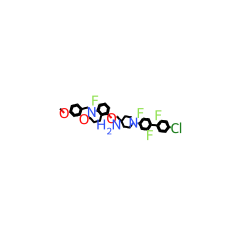 COc1ccc(CN2C(=O)CCc3c(OCC4(N)CCN(c5cc(F)c(-c6ccc(Cl)cc6F)cc5F)CC4)ccc(F)c32)cc1